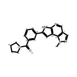 Cn1ncc2cnc3[nH]c(-c4cccc(C(=O)N5CCCC5)c4)cc3c21